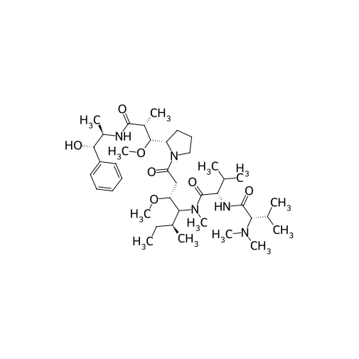 CC[C@H](C)C([C@@H](CC(=O)N1CCC[C@H]1C(OC)[C@@H](C)C(=O)N[C@H](C)[C@@H](O)c1ccccc1)OC)N(C)C(=O)[C@@H](NC(=O)[C@H](C(C)C)N(C)C)C(C)C